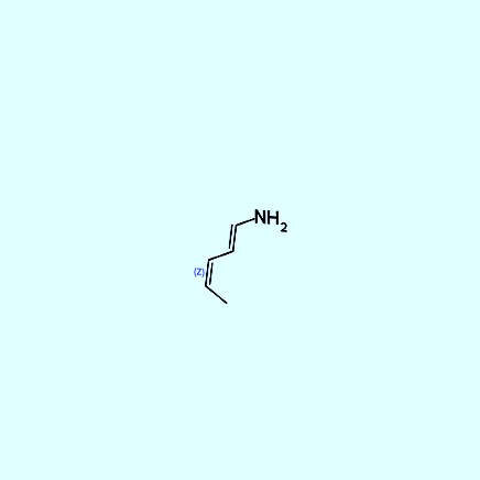 C/C=C\C=CN